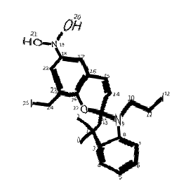 CC1(C)c2ccccc2N(CCI)C12C=Cc1cc(N(O)O)cc(CI)c1O2